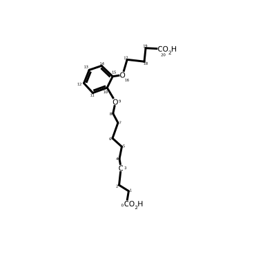 O=C(O)CCCCCCCCOc1ccccc1OCCCC(=O)O